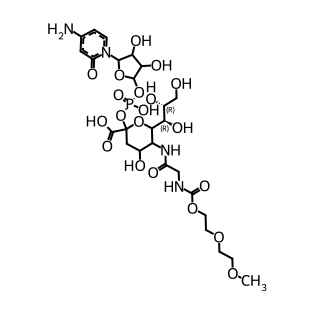 COCCOCCOC(=O)NCC(=O)NC1C(O)CC(OP(=O)(O)OC2OC(n3ccc(N)cc3=O)C(O)C2O)(C(=O)O)OC1[C@H](O)[C@H](O)CO